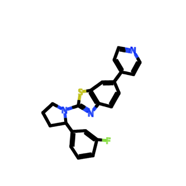 Fc1cccc(C2CCCN2c2nc3ccc(-c4ccncc4)cc3s2)c1